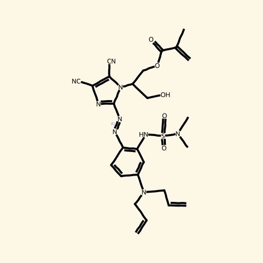 C=CCN(CC=C)c1ccc(/N=N/c2nc(C#N)c(C#N)n2C(CO)COC(=O)C(=C)C)c(NS(=O)(=O)N(C)C)c1